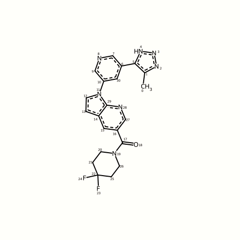 Cc1nn[nH]c1-c1cncc(-n2ccc3cc(C(=O)N4CCC(F)(F)CC4)cnc32)c1